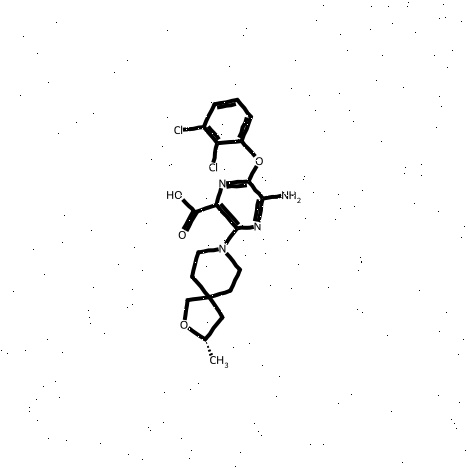 C[C@H]1CC2(CCN(c3nc(N)c(Oc4cccc(Cl)c4Cl)nc3C(=O)O)CC2)CO1